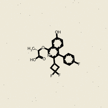 C[C@H](Oc1nc(C2CC(F)(F)C2)c(-c2ccc(F)cc2)c2ccc(O)cc12)C(=O)O